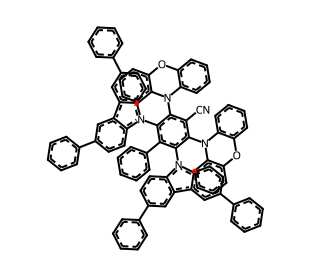 N#Cc1c(N2c3ccccc3Oc3ccccc32)c(-n2c3ccc(-c4ccccc4)cc3c3cc(-c4ccccc4)ccc32)c(-c2ccccc2)c(-n2c3ccc(-c4ccccc4)cc3c3cc(-c4ccccc4)ccc32)c1N1c2ccccc2Oc2ccccc21